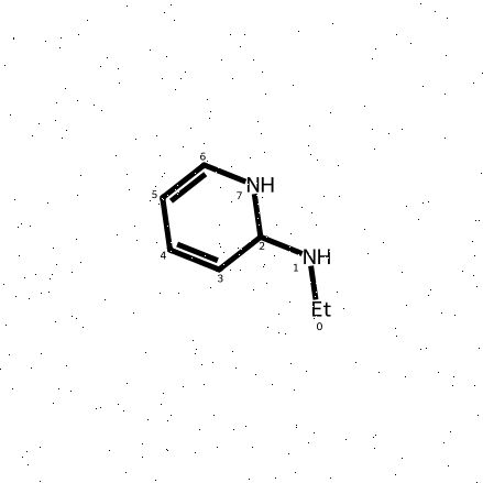 CCN[C]1C=CC=CN1